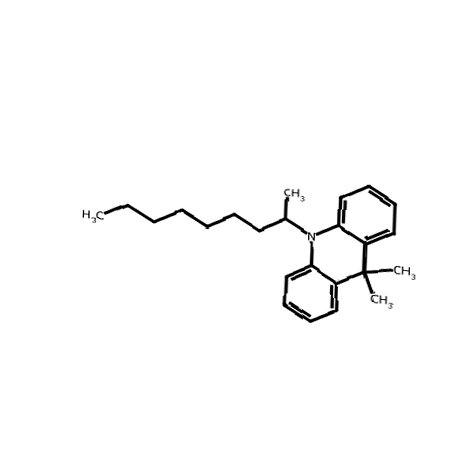 CCCCCCCC(C)N1c2ccccc2C(C)(C)c2ccccc21